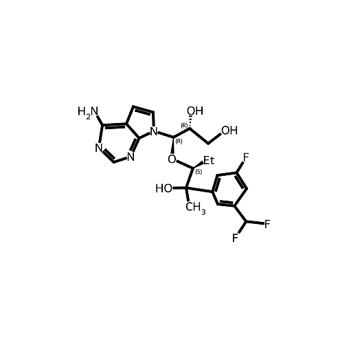 CC[C@H](O[C@H]([C@H](O)CO)n1ccc2c(N)ncnc21)C(C)(O)c1cc(F)cc(C(F)F)c1